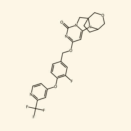 O=c1nc(OCc2ccc(Oc3ccnc(C(F)(F)F)c3)c(F)c2)cc2n1CC13CCC(COC1)N23